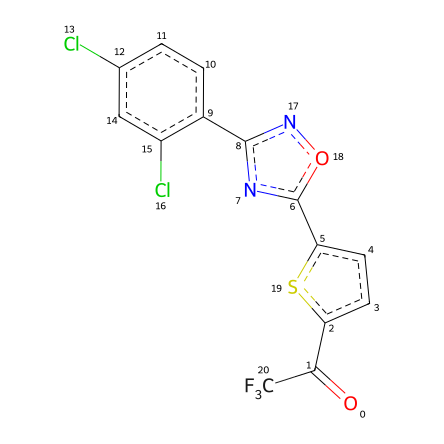 O=C(c1ccc(-c2nc(-c3ccc(Cl)cc3Cl)no2)s1)C(F)(F)F